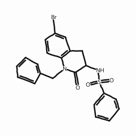 O=C1C(NS(=O)(=O)c2ccccc2)Cc2cc(Br)ccc2N1Cc1ccccc1